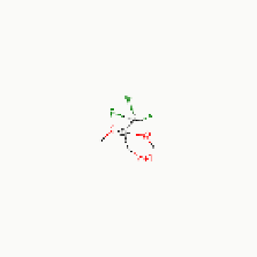 CO[Si](CO)(OC)C(F)(F)F